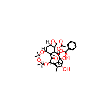 CC(=O)O[C@@]12CO[C@@H]1C[C@@H]1O[Si](C)(C)O[Si](C)(C)O[C@H]3C(=O)[C@@]1(C)[C@@H]2[C@H](OC(=O)c1ccccc1)[C@]1(O)C[C@H](O)C(C)=C3C1(C)C